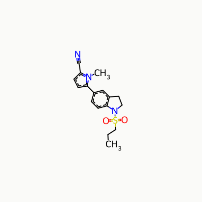 CCCS(=O)(=O)N1CCc2cc(-c3ccc(C#N)n3C)ccc21